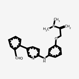 C=C(COc1cccc(Nc2ccc(-c3ccccc3C=O)cn2)c1)N(C)C